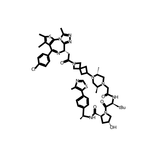 Cc1ncsc1-c1ccc([C@H](C)NC(=O)[C@@H]2C[C@@H](O)CN2C(=O)[C@@H](NC(=O)CN2C[C@@H](C)N(C3CC4(C3)CN(C(=O)C[C@@H]3N=C(c5ccc(Cl)cc5)c5c(sc(C)c5C)-n5c(C)nnc53)C4)C[C@@H]2C)C(C)(C)C)cc1